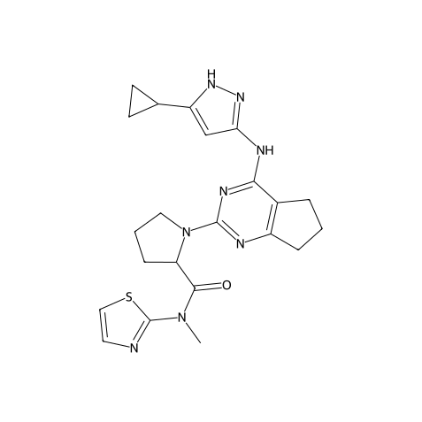 CN(C(=O)C1CCCN1c1nc2c(c(Nc3cc(C4CC4)[nH]n3)n1)CCC2)c1nccs1